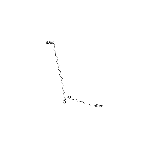 CCCCCCCCCCCCCCCCCCCCCCCCCCC(=O)OCCCCCCCCCCCCCCCCC